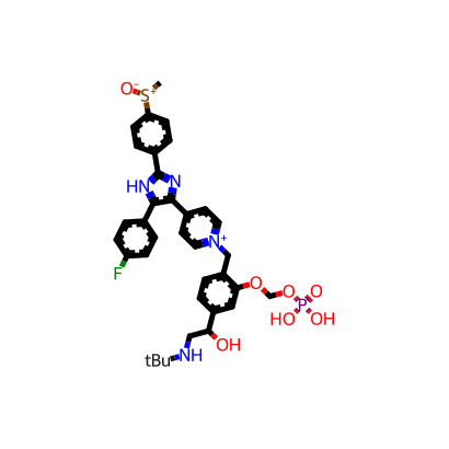 C[S+]([O-])c1ccc(-c2nc(-c3cc[n+](Cc4ccc(C(O)CNC(C)(C)C)cc4OCOP(=O)(O)O)cc3)c(-c3ccc(F)cc3)[nH]2)cc1